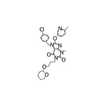 Cc1ccc(Oc2nc3c(c(=O)n(CCCOC4CCCCO4)c(=O)n3C)n2Cc2ccc(Cl)cc2)cn1